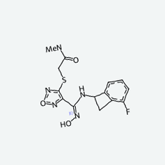 CNC(=O)CSc1nonc1/C(=N\O)NC1Cc2c(F)cccc21